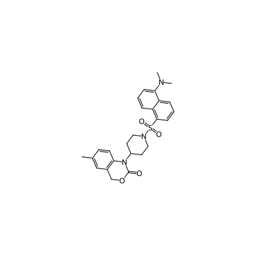 Cc1ccc2c(c1)COC(=O)N2C1CCN(S(=O)(=O)c2cccc3c(N(C)C)cccc23)CC1